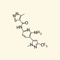 Cc1nnsc1C(=O)Nc1ccc(-c2cc(C(F)(F)F)nn2C)c(N)n1